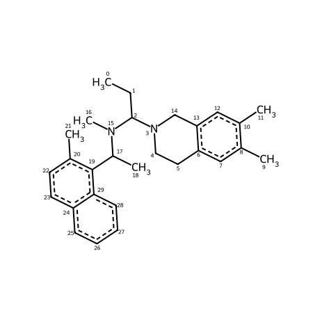 CCC(N1CCc2cc(C)c(C)cc2C1)N(C)C(C)c1c(C)ccc2ccccc12